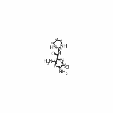 Nc1nc(N)c(C(=O)N=C2NCCCN2)nc1Cl